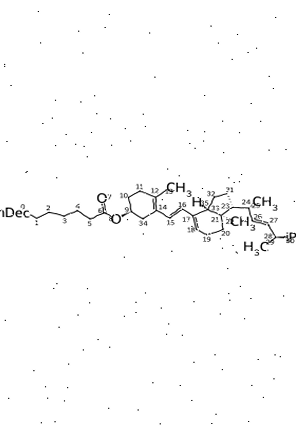 CCCCCCCCCCCCCCCC(=O)O[C@H]1CCC(C)=C(/C=C/C2=CCC[C@]3(C)[C@@H]([C@H](C)/C=C/[C@H](C)C(C)C)CC[C@@H]23)C1